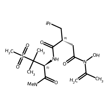 C=C(C)N(O)C(=O)C[C@@H](CC(C)C)C(=O)N[C@@H](C(=O)NC)C(C)(C)S(C)(=O)=O